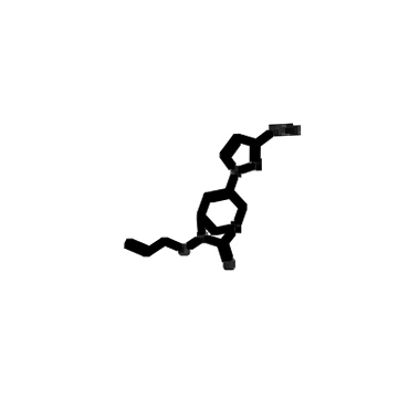 C=CCON1C(=O)N2CC(n3ccc(NC(C)=O)n3)=CC1C2